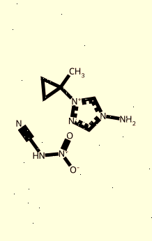 CC1([n+]2cn(N)cn2)CC1.N#CN[N+](=O)[O-]